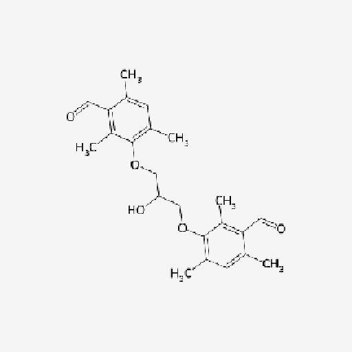 Cc1cc(C)c(OCC(O)COc2c(C)cc(C)c(C=O)c2C)c(C)c1C=O